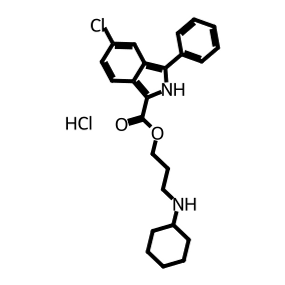 Cl.O=C(OCCCNC1CCCCC1)c1[nH]c(-c2ccccc2)c2cc(Cl)ccc12